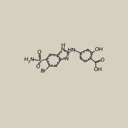 NS(=O)(=O)c1cc2[nH]c(Nc3ccc(C(=O)O)c(O)c3)nc2cc1Br